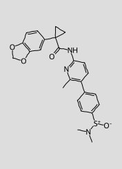 Cc1nc(NC(=O)C2(c3ccc4c(c3)OCO4)CC2)ccc1-c1ccc([S+]([O-])N(C)C)cc1